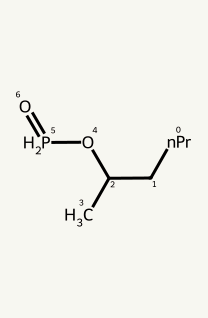 CCCCC(C)O[PH2]=O